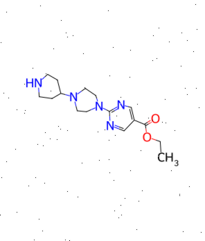 CCOC(=O)c1cnc(N2CCN(C3CCNCC3)CC2)nc1